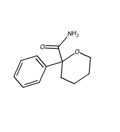 NC(=O)C1(c2ccccc2)CCCCO1